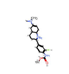 CN(C=O)C1=CCC2NC(c3ccc(NC(=O)OC(C)(C)C)c(F)c3)CCC2C1